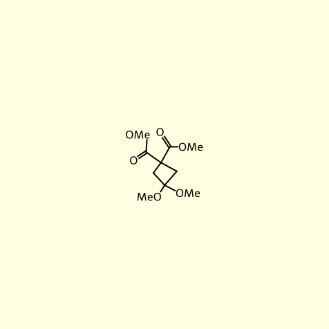 COC(=O)C1(C(=O)OC)CC(OC)(OC)C1